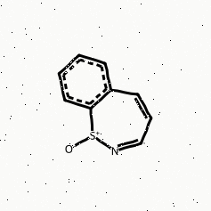 [O-][S+]1N=[C]C=Cc2ccccc21